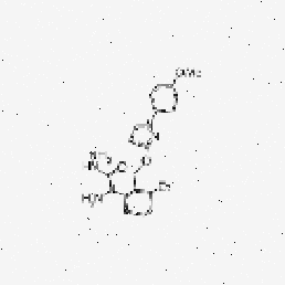 CCc1cccc(N(N)C(=O)NN)c1COc1ccn(-c2ccc(OC)cc2)n1